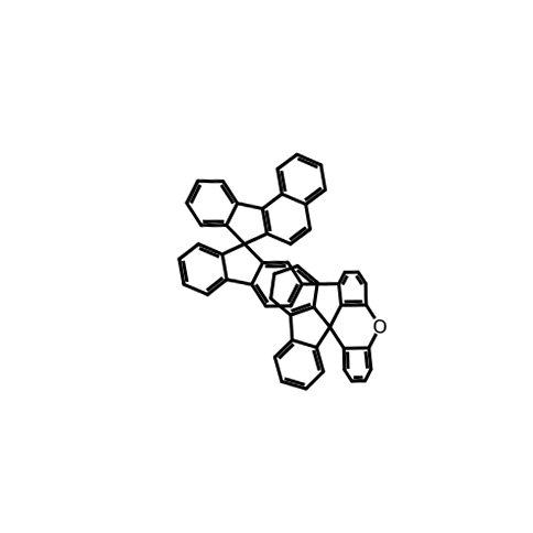 C1=CC2=C(CC1)c1ccccc1C21c2ccccc2Oc2cccc(-c3ccc4c(c3)C3(c5ccccc5-4)c4ccccc4-c4c3ccc3ccccc43)c21